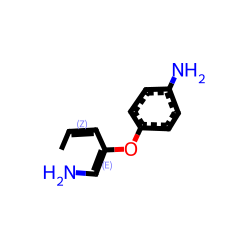 C/C=C\C(=C/N)Oc1ccc(N)cc1